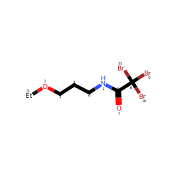 CCOCCCNC(=O)C(Br)(Br)Br